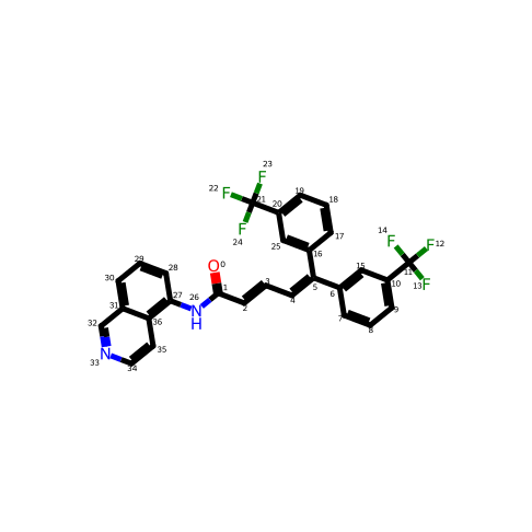 O=C(/C=C/C=C(c1cccc(C(F)(F)F)c1)c1cccc(C(F)(F)F)c1)Nc1cccc2cnccc12